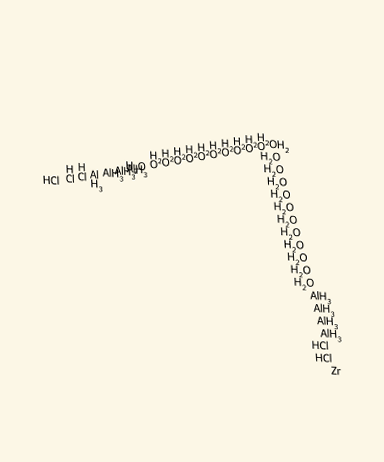 Cl.Cl.Cl.Cl.Cl.O.O.O.O.O.O.O.O.O.O.O.O.O.O.O.O.O.O.O.O.O.O.O.[AlH3].[AlH3].[AlH3].[AlH3].[AlH3].[AlH3].[AlH3].[AlH3].[Zr]